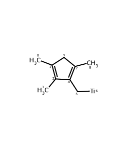 CC1=C(C)C([CH2][Ti])=C(C)C1